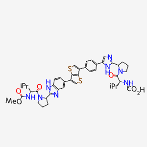 COC(=O)N[C@H](C(=O)N1CCCC1c1nc2cc(-c3csc4c(-c5ccc(-c6cnc(C7CCCN7C(=O)[C@@H](NC(=O)O)C(C)C)[nH]6)cc5)csc34)ccc2[nH]1)C(C)C